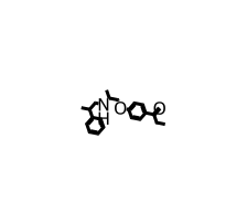 CCC(=O)c1ccc(OCC(C)NCC(C)c2ccccc2)cc1